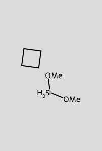 C1CCC1.CO[SiH2]OC